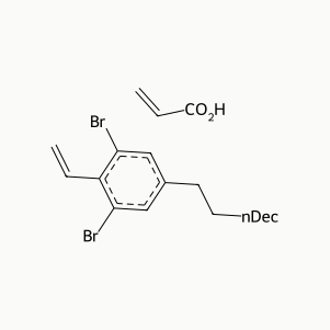 C=CC(=O)O.C=Cc1c(Br)cc(CCCCCCCCCCCC)cc1Br